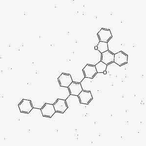 c1ccc(-c2ccc3ccc(-c4c5ccccc5c(-c5ccc6c(c5)oc5c7ccccc7c7c8ccccc8oc7c65)c5ccccc45)cc3c2)cc1